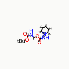 CC(C)(C)OC(=O)NCOC(=O)NN1CCCCC1